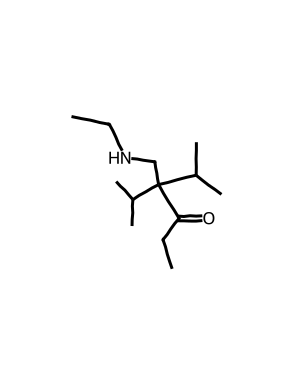 CCNCC(C(=O)CC)(C(C)C)C(C)C